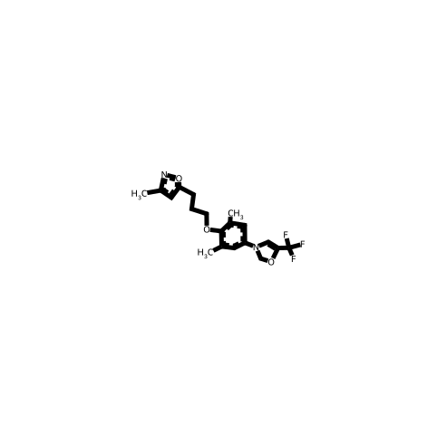 Cc1cc(CCCOc2c(C)cc(N3C=C(C(F)(F)F)OC3)cc2C)on1